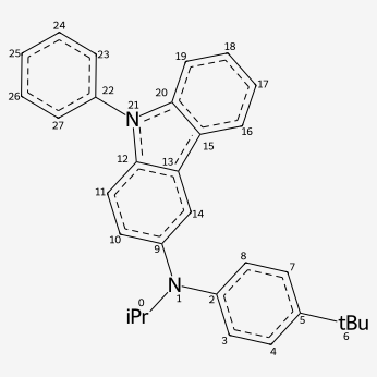 CC(C)N(c1ccc(C(C)(C)C)cc1)c1ccc2c(c1)c1ccccc1n2-c1ccccc1